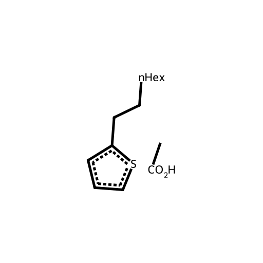 CC(=O)O.CCCCCCCCc1cccs1